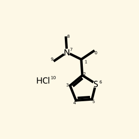 CC(c1cccs1)N(C)C.Cl